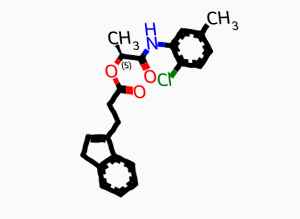 Cc1ccc(Cl)c(NC(=O)[C@H](C)OC(=O)CCC2=CCc3ccccc32)c1